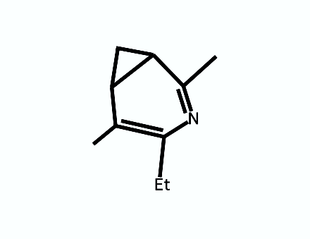 CCC1=C(C)C2CC2C(C)=N1